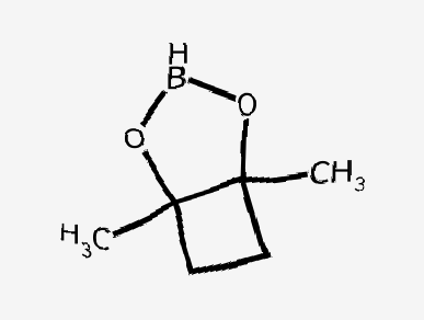 CC12CCC1(C)OBO2